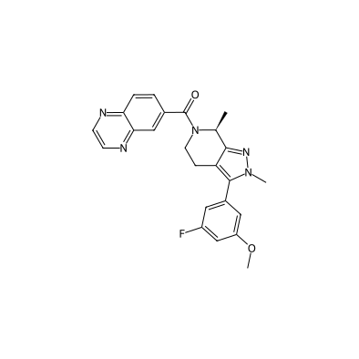 COc1cc(F)cc(-c2c3c(nn2C)[C@H](C)N(C(=O)c2ccc4nccnc4c2)CC3)c1